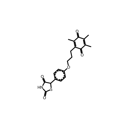 CC1=C(C)C(=O)C(CCCOc2ccc(C3SC(=O)NC3=O)cc2)=C(C)C1=O